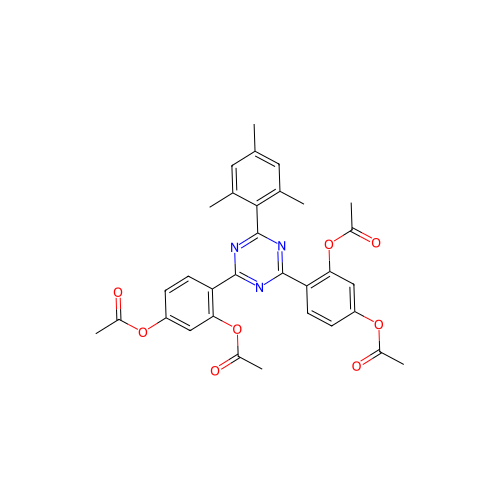 CC(=O)Oc1ccc(-c2nc(-c3ccc(OC(C)=O)cc3OC(C)=O)nc(-c3c(C)cc(C)cc3C)n2)c(OC(C)=O)c1